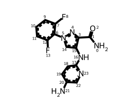 NC(=O)c1nn(-c2c(F)cccc2F)cc1Nc1ccc(N)cn1